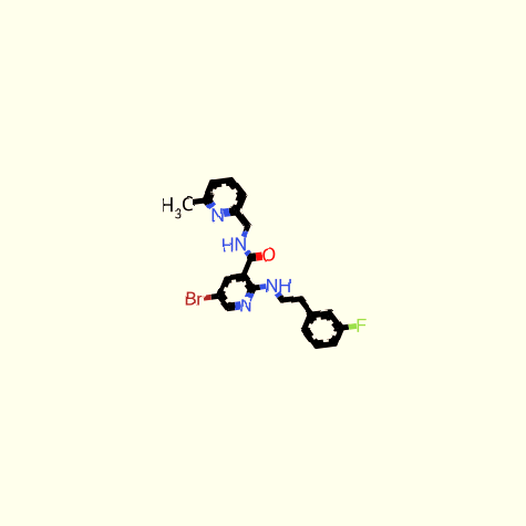 Cc1cccc(CNC(=O)c2cc(Br)cnc2NCCc2cccc(F)c2)n1